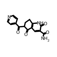 NC(=O)c1cc2c([nH]c1=O)CCC(C(=O)c1ccncc1)C2=O